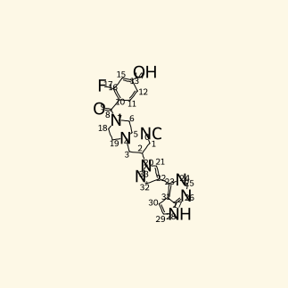 N#CCC(CN1CCN(C(=O)c2ccc(O)cc2F)CC1)n1cc(-c2ncnc3[nH]ccc23)cn1